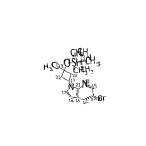 CC1(O[Si](C)(C)C(C)(C)C)CC(n2ccc3cc(Br)cnc32)C1